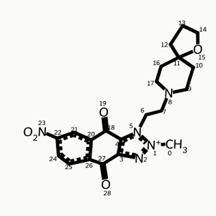 C[n+]1nc2c(n1CCN1CCC3(CCCO3)CC1)C(=O)c1cc([N+](=O)[O-])ccc1C2=O